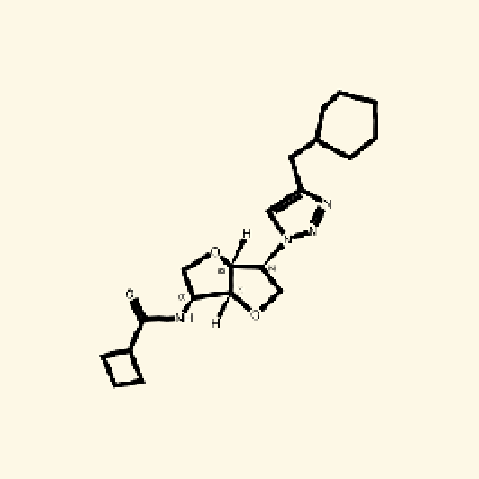 O=C(N[C@H]1CO[C@H]2[C@@H]1OC[C@@H]2n1cc(CC2CCCCC2)nn1)C1CCC1